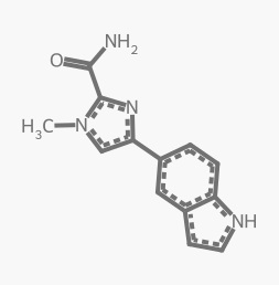 Cn1cc(-c2ccc3[nH]ccc3c2)nc1C(N)=O